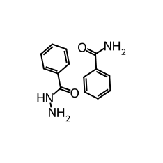 NC(=O)c1ccccc1.NNC(=O)c1ccccc1